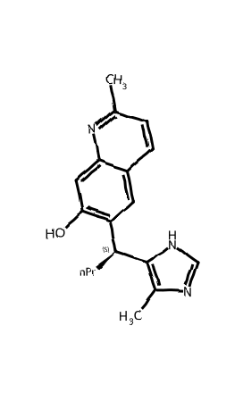 CCC[C@@H](c1cc2ccc(C)nc2cc1O)c1[nH]cnc1C